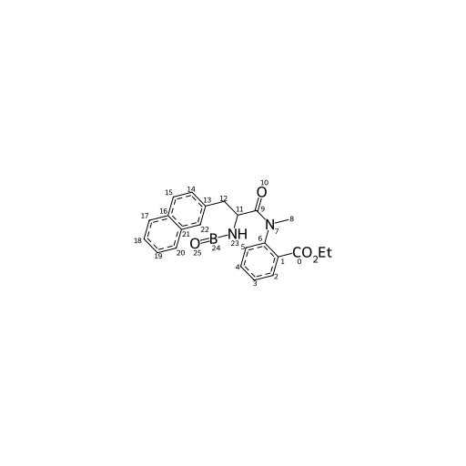 CCOC(=O)c1ccccc1N(C)C(=O)C(Cc1ccc2ccccc2c1)NB=O